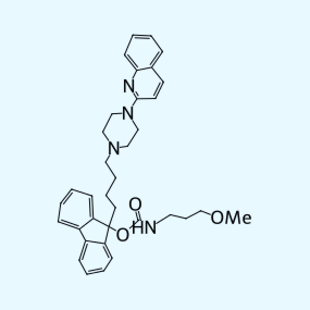 COCCCNC(=O)OC1(CCCCN2CCN(c3ccc4ccccc4n3)CC2)c2ccccc2-c2ccccc21